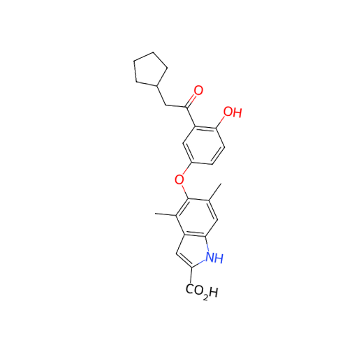 Cc1cc2[nH]c(C(=O)O)cc2c(C)c1Oc1ccc(O)c(C(=O)CC2CCCC2)c1